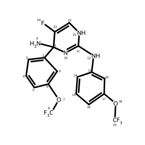 NC1(c2cccc(OC(F)(F)F)c2)N=C(Nc2cccc(OC(F)(F)F)c2)NC=C1F